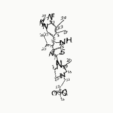 Cc1c(-c2[nH]c3sc(N4CCN(CCS(C)(=O)=O)CC4C)nc3c2C(C)C)cn2ncnc2c1C